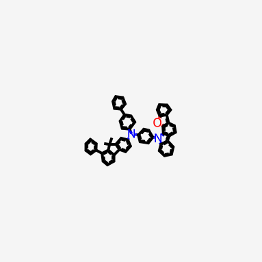 CC1(C)c2cc(N(c3ccc(-c4ccccc4)cc3)c3ccc(-n4c5ccccc5c5ccc6c7ccccc7oc6c54)cc3)ccc2-c2cccc(-c3ccccc3)c21